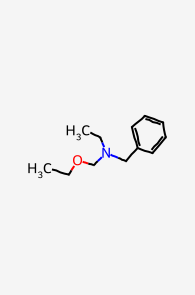 CCOCN(CC)Cc1ccccc1